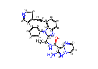 C[C@@H](NC(=O)c1c(N)nn2cccnc12)c1nc2cccc(C#Cc3ccncc3)c2n1-c1ccccc1